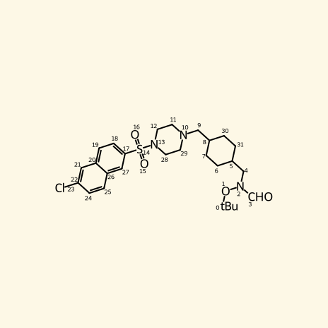 CC(C)(C)ON(C=O)CC1CCC(CN2CCN(S(=O)(=O)c3ccc4cc(Cl)ccc4c3)CC2)CC1